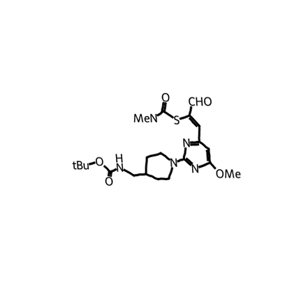 CNC(=O)S/C(C=O)=C\c1cc(OC)nc(N2CCC(CNC(=O)OC(C)(C)C)CC2)n1